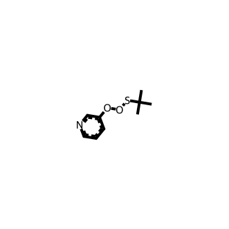 CC(C)(C)SOOc1cccnc1